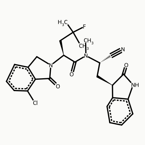 CN(C(=O)[C@H](CC(C)(C)F)N1Cc2cccc(Cl)c2C1=O)[C@H](C#N)C[C@H]1C(=O)Nc2ccccc21